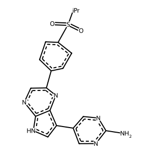 CC(C)S(=O)(=O)c1ccc(-c2cnc3[nH]cc(-c4cnc(N)nc4)c3n2)cc1